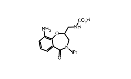 CC(C)N1CC(CNC(=O)O)Oc2c(N)cccc2C1=O